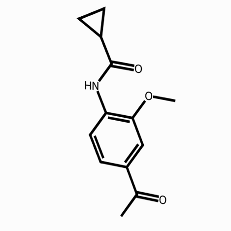 COc1cc(C(C)=O)ccc1NC(=O)C1CC1